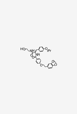 CC(C)Oc1ccc(/C=C(\NC(=O)c2ccc(OCCc3ccc4c(c3)OCO4)cc2)C(=O)NCCO)cc1